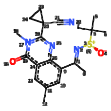 CC(=N[S@+]([O-])C(C)(C)C)c1cc(C)cc2c(=O)n(C)c(C3(C#N)CC3)nc12